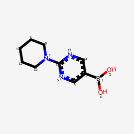 OB(O)c1cnc(N2CCCCC2)nc1